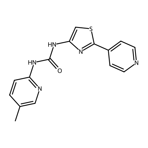 Cc1ccc(NC(=O)Nc2csc(-c3ccncc3)n2)nc1